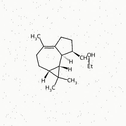 CC1=C2CC[C@@H](C)[C@H]2[C@H]2[C@@H](CC1)C2(C)C.CCO